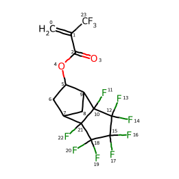 C=C(C(=O)OC1CC2CC1C1(F)C(F)(F)C(F)(F)C(F)(F)C21F)C(F)(F)F